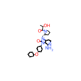 CC(O)C(=O)N1CCC[C@@H]1Cn1c(=O)n(-c2ccc(Oc3ccccc3)cc2)c2c(N)nccc21